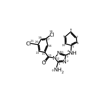 Nc1nc(Nc2ccccc2)nn1C(=O)c1cc(Cl)cc(Cl)c1